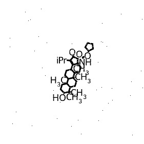 CC(C)C1=C2C3CCC4[C@@]5(C)CC[C@H](O)C(C)(C)C5CC[C@@]4(C)[C@]3(C)CC[C@@]2(NC(=O)OC2CCCC2)CC1=O